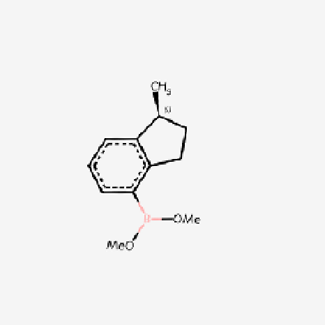 COB(OC)c1cccc2c1CC[C@@H]2C